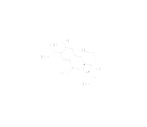 C=C1C[C@H]2[C@](C)(C(=O)OC)CCC[C@]2(C)c2cc(C)c(C(C)C)cc21